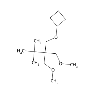 COCC(COC)(COC1CCC1)C(C)(C)C